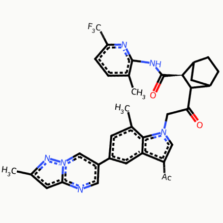 CC(=O)c1cn(CC(=O)C2C3CCC(C3)[C@@H]2C(=O)Nc2nc(C(F)(F)F)ccc2C)c2c(C)cc(-c3cnc4cc(C)nn4c3)cc12